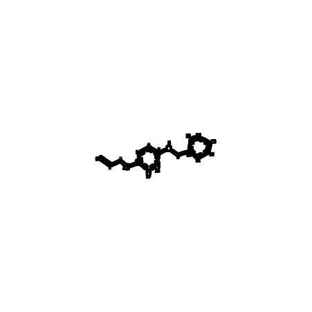 C=CCSc1ccc(OCc2ccccc2)nn1